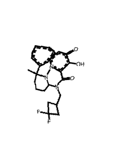 CC1(c2ccccc2)CCCC2N(CC3CC(F)(F)C3)C(=O)c3c(O)c(=O)ccn3N21